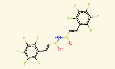 [O-][S+](C=Cc1c(F)c(F)c(F)c(F)c1F)N[S+]([O-])C=Cc1c(F)c(F)c(F)c(F)c1F